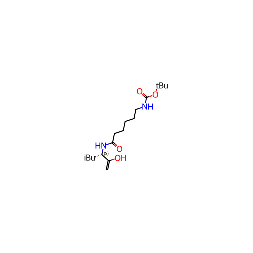 C=C(O)[C@@H](NC(=O)CCCCCNC(=O)OC(C)(C)C)C(C)CC